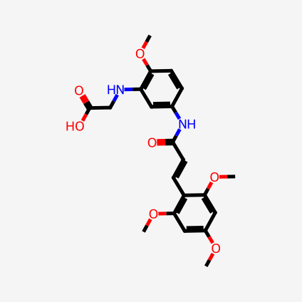 COc1cc(OC)c(/C=C/C(=O)Nc2ccc(OC)c(NCC(=O)O)c2)c(OC)c1